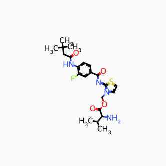 CC(C)C(N)C(=O)OCn1ccs/c1=N\C(=O)c1ccc(NC(=O)CC(C)(C)C)c(F)c1